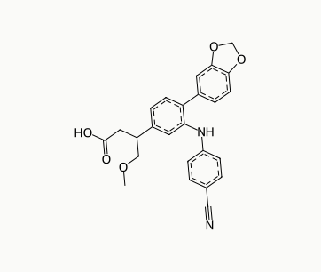 COCC(CC(=O)O)c1ccc(-c2ccc3c(c2)OCO3)c(Nc2ccc(C#N)cc2)c1